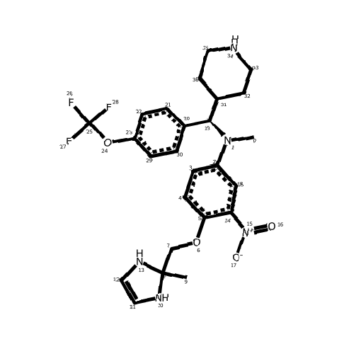 CN(c1ccc(OCC2(C)NC=CN2)c([N+](=O)[O-])c1)[C@@H](c1ccc(OC(F)(F)F)cc1)C1CCNCC1